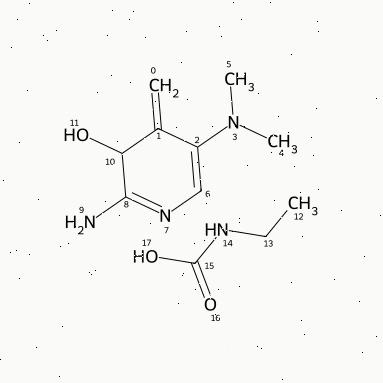 C=C1C(N(C)C)=CN=C(N)C1O.CCNC(=O)O